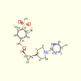 Cc1cnc(N2CCC([C@H]3C[C@H]3COCc3cc(F)c(S(C)(=O)=O)c(F)c3)CC2)nc1